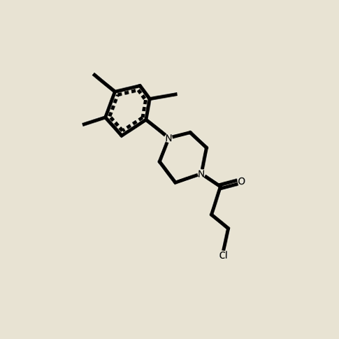 Cc1cc(C)c(N2CCN(C(=O)CCCl)CC2)cc1C